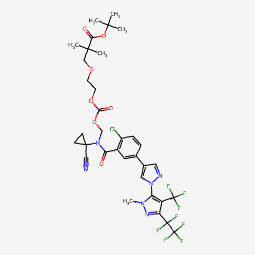 Cn1nc(C(F)(F)C(F)(F)F)c(C(F)(F)F)c1-n1cc(-c2ccc(Cl)c(C(=O)N(COC(=O)OCCOCC(C)(C)C(=O)OC(C)(C)C)C3(C#N)CC3)c2)cn1